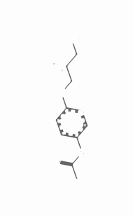 CC(=O)Nc1ccc(OC[C@H](O)CO)nc1